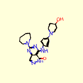 O=c1[nH]ncc2nc(N3CCCCCC3)nc(Nc3ccc(N4CCC(O)CC4)cc3)c12